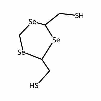 SCC1[Se]C[Se]C(CS)[Se]1